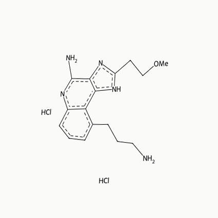 COCCc1nc2c(N)nc3cccc(CCCN)c3c2[nH]1.Cl.Cl